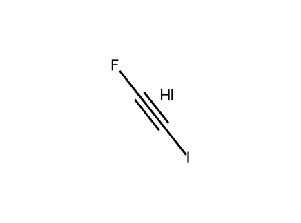 FC#CI.I